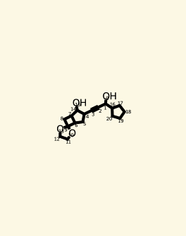 OC(C#CC1CC2C(CC23OCCO3)C1O)C1CCCC1